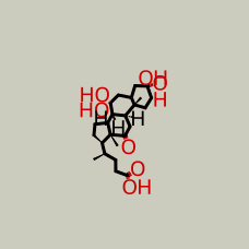 C[C@H](CCC(=O)O)[C@H]1CC[C@H]2[C@H]3[C@H](CC(=O)[C@]12C)[C@@]1(C)CCC(O)(O)CC1CC3(O)O